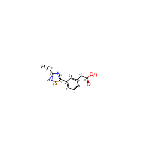 Cc1nsc(-c2cccc(CC(=O)O)c2)n1